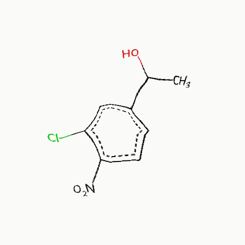 CC(O)c1ccc([N+](=O)[O-])c(Cl)c1